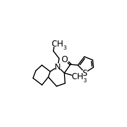 CCCN1C2CCCCC2CCC1(C)C(=O)c1cccs1